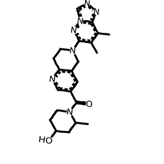 Cc1c(N2CCc3ncc(C(=O)N4CCC(O)CC4C)cc3C2)nn2cnnc2c1C